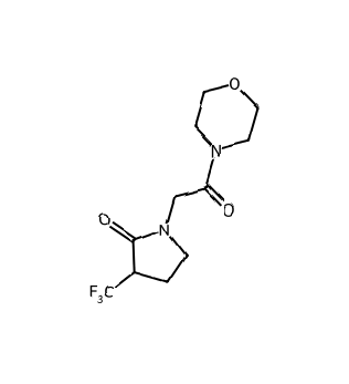 O=C(CN1CCC(C(F)(F)F)C1=O)N1CCOCC1